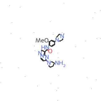 COc1cc(N2CCN(C)CC2)ccc1NC(=O)c1cnn2ccc(N3CCC[C@@H](N)C3)nc12